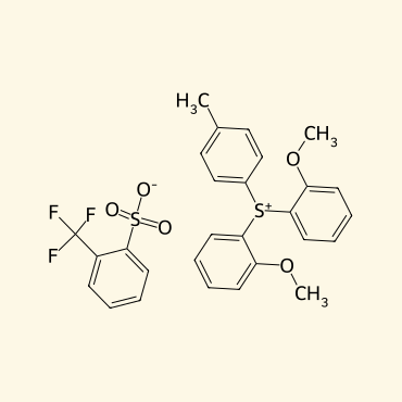 COc1ccccc1[S+](c1ccc(C)cc1)c1ccccc1OC.O=S(=O)([O-])c1ccccc1C(F)(F)F